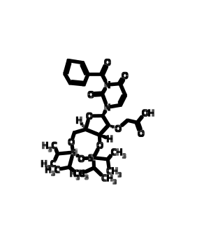 CC(C)[Si]1(C(C)C)OC[C@H]2O[C@@H](n3ccc(=O)n(C(=O)c4ccccc4)c3=O)[C@H](OCC(=O)O)[C@@H]2O[Si](C(C)C)(C(C)C)O1